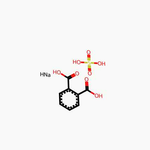 O=C(O)c1ccccc1C(=O)O.O=S(=O)(O)O.[NaH]